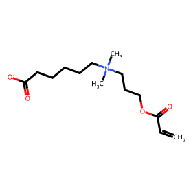 C=CC(=O)OCCC[N+](C)(C)CCCCCC(=O)[O-]